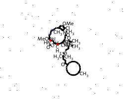 COc1cc2cc(c1Cl)N(C)C(=O)C[C@@H](OC(=O)[C@@H](C)N(C)C(=O)CCSSC(C)(C)CCC(=O)C1CCCCCCCC(C)CCCCCCC1)C(C)(C)C[C@@H](C)[C@H]1C[C@](O)(NC(=O)O1)[C@@H](OC)/C=C/C=C(\C)C2